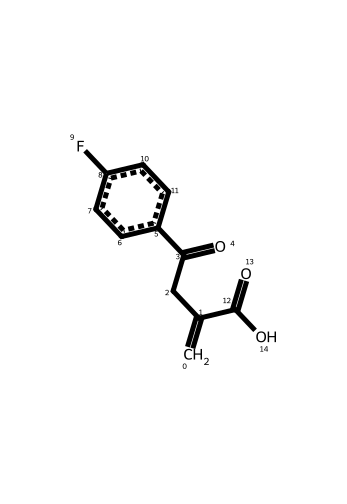 C=C(CC(=O)c1ccc(F)cc1)C(=O)O